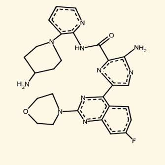 Nc1ncc(-c2nc(N3CCOCC3)nc3cc(F)ccc23)nc1C(=O)Nc1ncccc1N1CCC(N)CC1